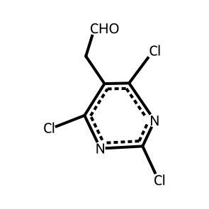 O=CCc1c(Cl)nc(Cl)nc1Cl